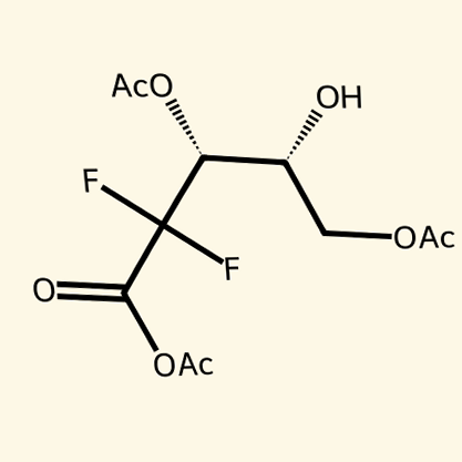 CC(=O)OC[C@@H](O)[C@@H](OC(C)=O)C(F)(F)C(=O)OC(C)=O